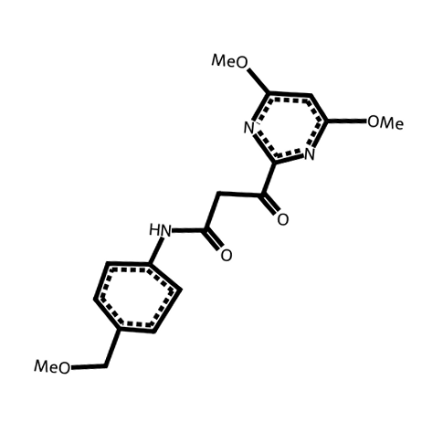 COCc1ccc(NC(=O)CC(=O)c2nc(OC)cc(OC)n2)cc1